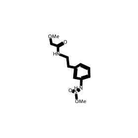 COCC(=O)NCCc1cccc(N=[SH](=O)OC)c1